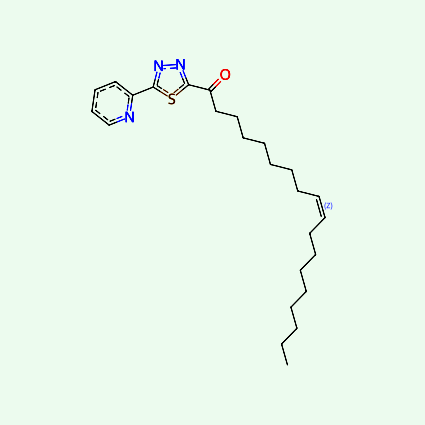 CCCCCCCC/C=C\CCCCCCCC(=O)c1nnc(-c2ccccn2)s1